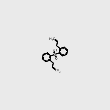 C=CCc1ccccc1S(=N)(=O)c1ccccc1CC=C